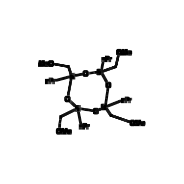 CCC[Si]1(COC)O[Si](CCC)(COC)O[Si](CCC)(COC)O[Si](CCC)(COC)O1